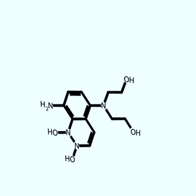 Nc1ccc(N(CCO)CCO)c2c1N(O)N(O)C=C2